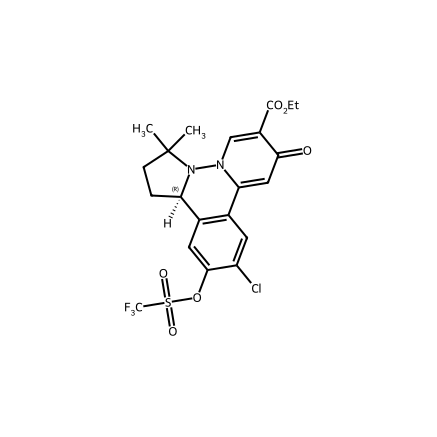 CCOC(=O)c1cn2c(cc1=O)-c1cc(Cl)c(OS(=O)(=O)C(F)(F)F)cc1[C@H]1CCC(C)(C)N12